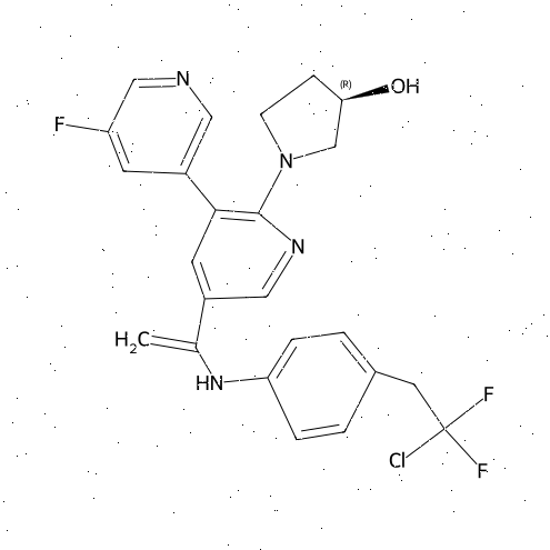 C=C(Nc1ccc(CC(F)(F)Cl)cc1)c1cnc(N2CC[C@@H](O)C2)c(-c2cncc(F)c2)c1